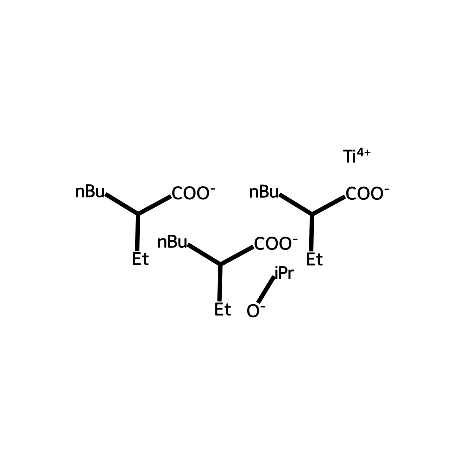 CC(C)[O-].CCCCC(CC)C(=O)[O-].CCCCC(CC)C(=O)[O-].CCCCC(CC)C(=O)[O-].[Ti+4]